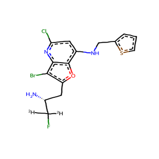 [2H]C([2H])(F)[C@H](N)Cc1oc2c(NCc3cccs3)cc(Cl)nc2c1Br